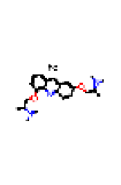 CC(COc1ccc2nc3c(OCC(C)N(C)C)cccc3cc2c1)N(C)C.[Fe]